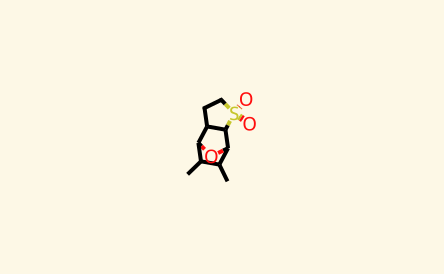 CC1C(C)C2OC1C1CCS(=O)(=O)C12